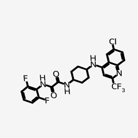 O=C(Nc1c(F)cccc1F)C(=O)NC1CCC(Nc2cc(C(F)(F)F)nc3ccc(Cl)cc23)CC1